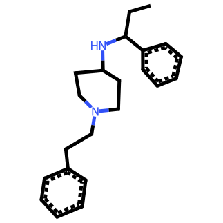 CCC(NC1CCN(CCc2ccccc2)CC1)c1ccccc1